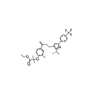 C=C(CCc1cc(-c2ccc(C(F)(F)F)cc2)nn1C(C)C)c1ccc(OC(C)(C)C(=O)OCC)c(C)c1